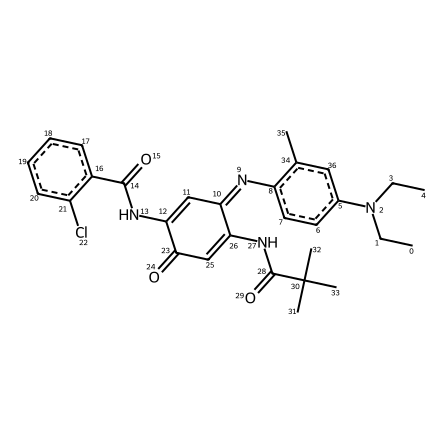 CCN(CC)c1ccc(N=C2C=C(NC(=O)c3ccccc3Cl)C(=O)C=C2NC(=O)C(C)(C)C)c(C)c1